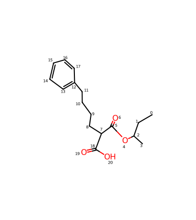 CCC(C)OC(=O)C(CCCCc1ccccc1)C(=O)O